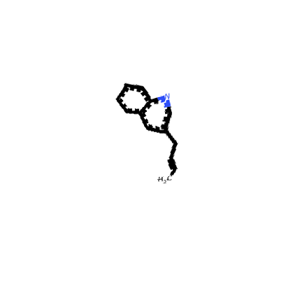 [CH2]C=CCc1cnc2ccccc2c1